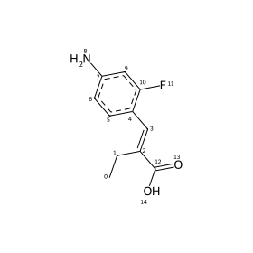 CC/C(=C\c1ccc(N)cc1F)C(=O)O